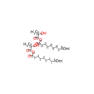 CCCCCCCCCCCCCCCCCC(=O)OC(=O)C(C)O.CCCCCCCCCCCCCCCCCC(=O)OC(=O)C(C)O